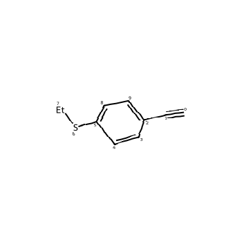 C#Cc1ccc(SCC)cc1